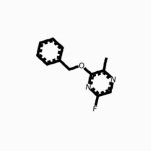 Cc1ncc(F)nc1OCc1ccccc1